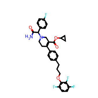 NC(=O)C(c1ccc(F)cc1)N1CCC(c2ccc(CCCOc3c(F)ccc(F)c3F)cc2)=C(C(=O)OC2CC2)C1